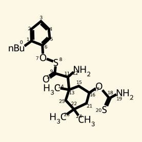 CCCCc1ccccc1OSC(=O)C(N)C1(C)CC(OC(N)=S)CC(C)(C)C1